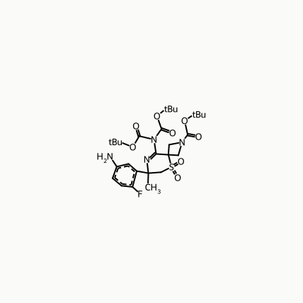 CC(C)(C)OC(=O)N1CC2(C1)C(N(C(=O)OC(C)(C)C)C(=O)OC(C)(C)C)=NC(C)(c1cc(N)ccc1F)CS2(=O)=O